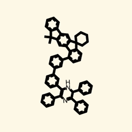 CC1(C)c2ccccc2-c2cc3c(cc21)-c1c(-c2cccc(-c4cccc(C5=C(c6ccccc6)N=C(c6ccccc6)C(c6ccccc6)N5)c4)c2)cccc1C31CCCCC1